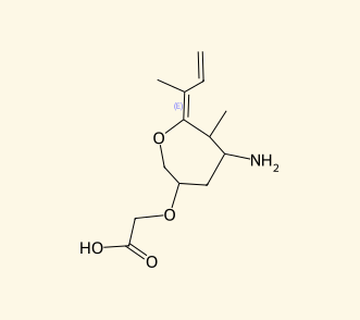 C=C/C(C)=C1/OCC(OCC(=O)O)CC(N)C1C